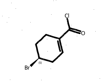 O=C(Cl)C1=CC[C@@H](Br)CC1